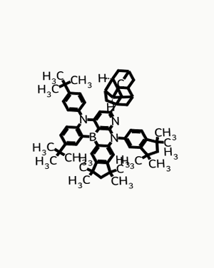 CC(C)(C)c1ccc(N2c3ccc(C(C)(C)C)cc3B3c4cc5c(cc4N(c4ccc6c(c4)C(C)(C)CC6(C)C)c4nc([C@]67CC8C9CC%10C[C@@H]8C(C6)[C@@H](C%10)C9C7)cc2c43)C(C)(C)CC5(C)C)cc1